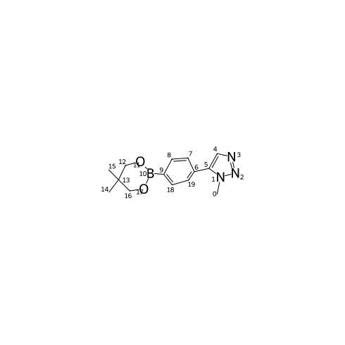 Cn1nncc1-c1ccc(B2OCC(C)(C)CO2)cc1